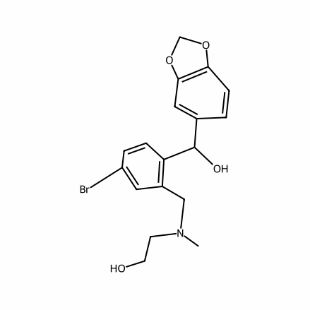 CN(CCO)Cc1cc(Br)ccc1C(O)c1ccc2c(c1)OCO2